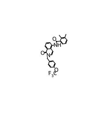 Cc1cccc(C(=O)Nc2cccc3c(=O)n(Cc4ccc(OC(F)(F)F)cc4)ccc23)c1C